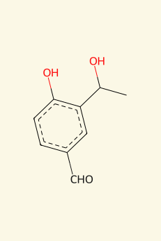 CC(O)c1cc(C=O)ccc1O